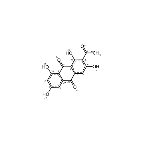 CC(=O)c1c(O)cc2c(c1O)C(=O)c1c(O)cc(O)cc1C2=O